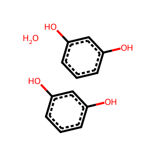 O.Oc1cccc(O)c1.Oc1cccc(O)c1